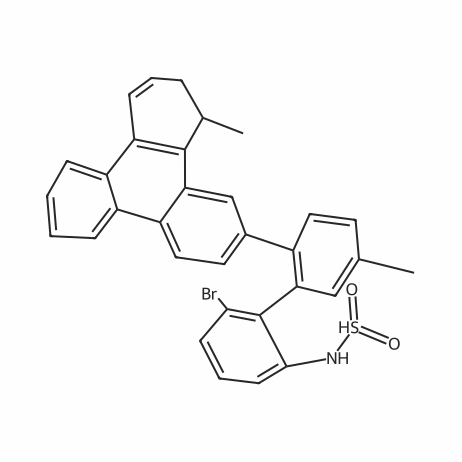 Cc1ccc(-c2ccc3c(c2)c2c(c4ccccc43)C=CCC2C)c(-c2c(Br)cccc2N[SH](=O)=O)c1